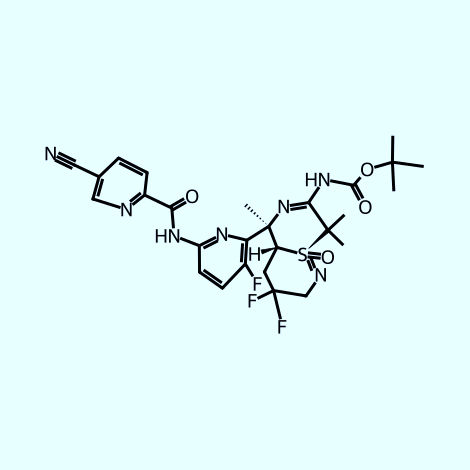 CC(C)(C)OC(=O)NC1=N[C@](C)(c2nc(NC(=O)c3ccc(C#N)cn3)ccc2F)[C@H]2CC(F)(F)CN=[S@]2(=O)C1(C)C